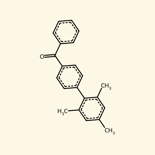 Cc1cc(C)c(-c2ccc(C(=O)c3ccccc3)cc2)c(C)c1